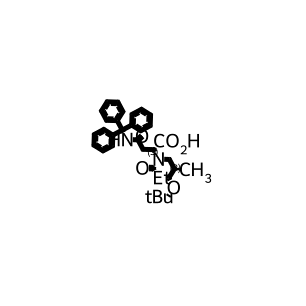 CCC(=O)N(C[C@@H](C)COC(C)(C)C)[C@@H](CC(=O)NC(c1ccccc1)(c1ccccc1)c1ccccc1)C(=O)O